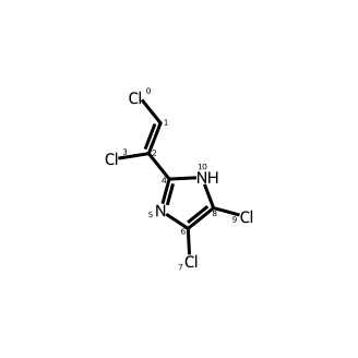 ClC=C(Cl)c1nc(Cl)c(Cl)[nH]1